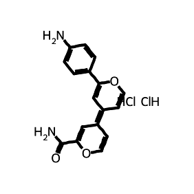 Cl.Cl.NC(=O)C1=CC(=C2C=COC(c3ccc(N)cc3)=C2)C=CO1